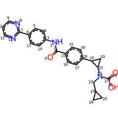 O=C(Nc1ccc(-c2ncccn2)cc1)c1ccc(C2CC2N(CC2CC2)C(=O)O)cc1